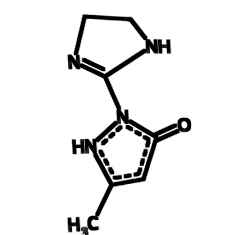 Cc1cc(=O)n(C2=NCCN2)[nH]1